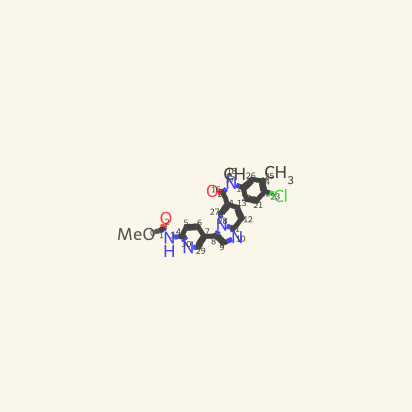 COC(=O)Nc1ccc(-c2cnc3ccc(C(=O)N(C)c4ccc(Cl)c(C)c4)cn23)cn1